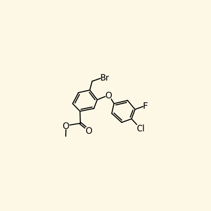 COC(=O)c1ccc(CBr)c(Oc2ccc(Cl)c(F)c2)c1